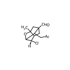 CC(=O)CC1C2OC3(C)CC1(C=O)CC3[C@@H]2Cl